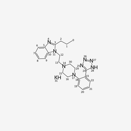 CCCc1nc2ccccc2n1CCN1CCN(c2ccccc2-c2nnn[nH]2)CC1.[KH]